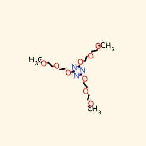 COCCOCCOc1nc(OCCOCCOC)nc(OCCOCCOC)n1